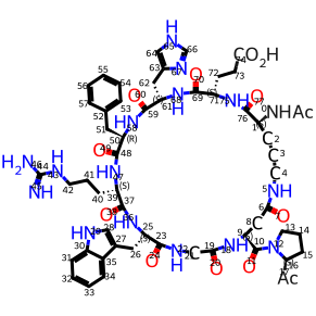 CC(=O)N[C@H]1CCCNC(=O)C[C@@H](C(=O)N2CCC[C@H]2C(C)=O)NC(=O)CNC(=O)[C@H](Cc2c[nH]c3ccccc23)NC(=O)[C@H](CCCNC(=N)N)NC(=O)[C@@H](Cc2ccccc2)NC(=O)[C@H](Cc2c[nH]cn2)NC(=O)[C@H](CCC(=O)O)NC1=O